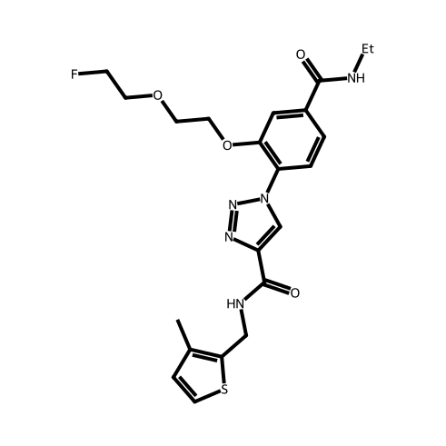 CCNC(=O)c1ccc(-n2cc(C(=O)NCc3sccc3C)nn2)c(OCCOCCF)c1